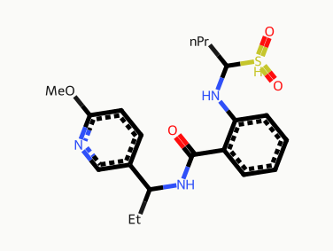 CCCC(Nc1ccccc1C(=O)NC(CC)c1ccc(OC)nc1)[SH](=O)=O